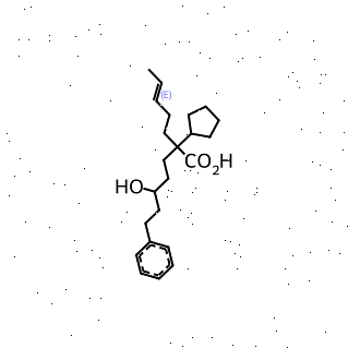 C/C=C/CCC(CCC(O)CCc1ccccc1)(C(=O)O)C1CCCC1